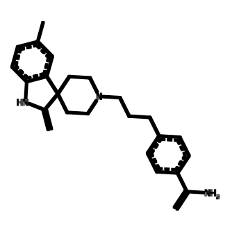 C=C(N)c1ccc(CCCN2CCC3(CC2)C(=C)Nc2ccc(C)cc23)cc1